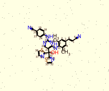 Cc1cc(/C=C/C#N)cc(C)c1Nc1nc(Nc2ccc(C#N)cc2)ncc1C(O)(c1nccs1)c1nccs1